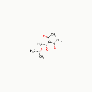 CC(C)=O.C[C](=O)[Ni]([C](C)=O)[C](C)=O